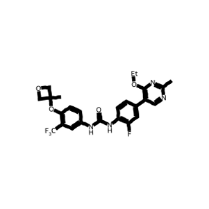 CCOc1nc(C)ncc1-c1ccc(NC(=O)Nc2ccc(OC3(C)COC3)c(C(F)(F)F)c2)c(F)c1